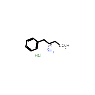 Cl.N[C@@H](CC(=O)O)Cc1ccccc1